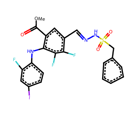 COC(=O)c1cc(/C=N/NS(=O)(=O)Cc2ccccc2)c(F)c(F)c1Nc1ccc(I)cc1F